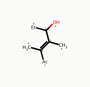 CCC(O)C(C)=C(C)C(C)=O